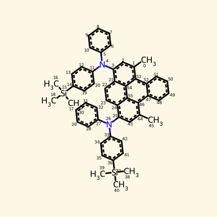 Cc1cc(N(c2ccccc2)c2ccc([Si](C)(C)C)cc2)c2ccc3c(N(c4ccccc4)c4ccc([Si](C)(C)C)cc4)cc(C)c4c5ccccc5c1c2c34